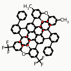 Cc1ccc2c(c1)Oc1cc(C)cc3c1B2c1cc2c(-c4c(-c5ccccc5)cccc4-c4ccccc4)cc4c5c(cc6c(-c7c(-c8ccccc8)cccc7-c7ccccc7)cc-3c1c6c25)B1c2ccc(C(F)(F)F)cc2Oc2cc(C(F)(F)F)cc-4c21